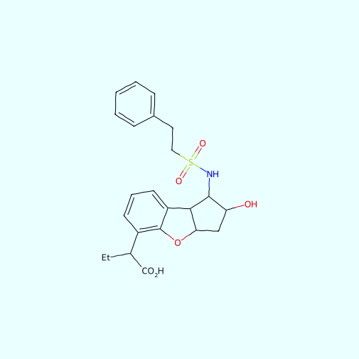 CCC(C(=O)O)c1cccc2c1OC1CC(O)C(NS(=O)(=O)CCc3ccccc3)C21